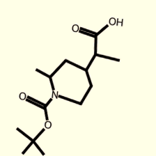 CC(C(=O)O)C1CCN(C(=O)OC(C)(C)C)C(C)C1